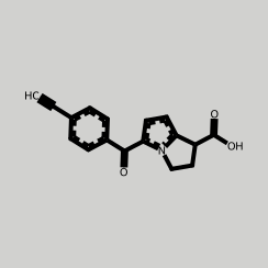 C#Cc1ccc(C(=O)c2ccc3n2CCC3C(=O)O)cc1